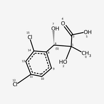 CC(O)(C(=O)O)[C@@H](O)c1ccc(Cl)cc1Cl